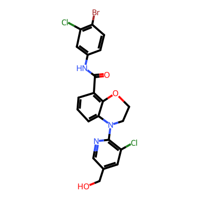 O=C(Nc1ccc(Br)c(Cl)c1)c1cccc2c1OCCN2c1ncc(CO)cc1Cl